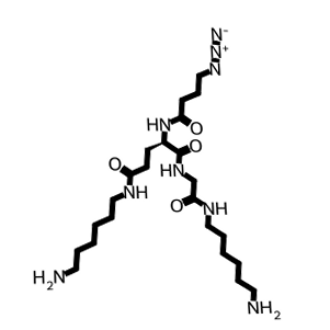 [N-]=[N+]=NCCCC(=O)N[C@H](CCC(=O)NCCCCCCN)C(=O)NCC(=O)NCCCCCCN